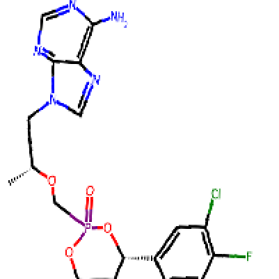 C[C@H](Cn1cnc2c(N)ncnc21)OCP1(=O)OCC[C@@H](c2ccc(F)c(Cl)c2)O1